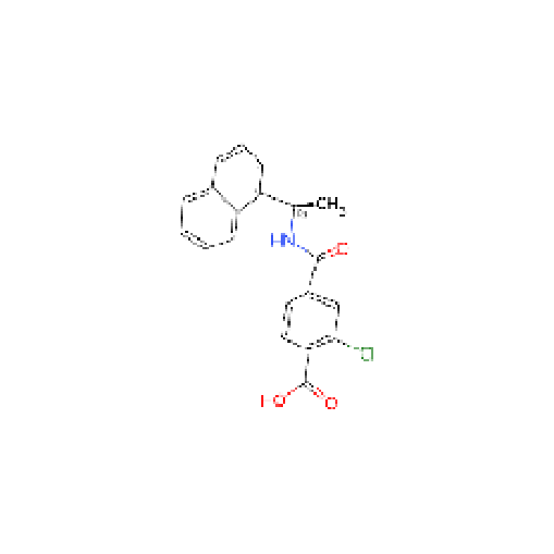 C[C@@H](NC(=O)c1ccc(C(=O)O)c(Cl)c1)c1cccc2ccccc12